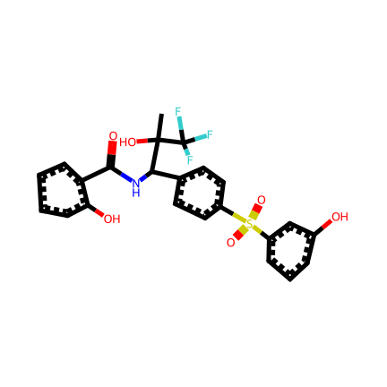 CC(O)(C(NC(=O)c1ccccc1O)c1ccc(S(=O)(=O)c2cccc(O)c2)cc1)C(F)(F)F